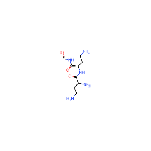 NCCC(N)C(=O)NC(CCN)C(=O)NC=O